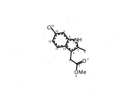 COC(=O)Cc1c(C)[nH]c2cc(Cl)ccc12